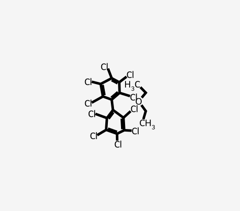 CCOCC.Clc1c(Cl)c(Cl)c(-c2c(Cl)c(Cl)c(Cl)c(Cl)c2Cl)c(Cl)c1Cl